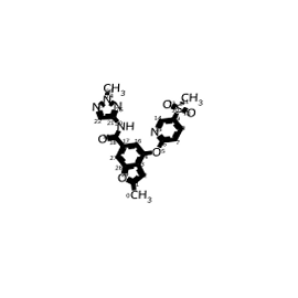 Cc1cc2c(Oc3ccc(S(C)(=O)=O)cn3)cc(C(=O)Nc3cnn(C)n3)cc2o1